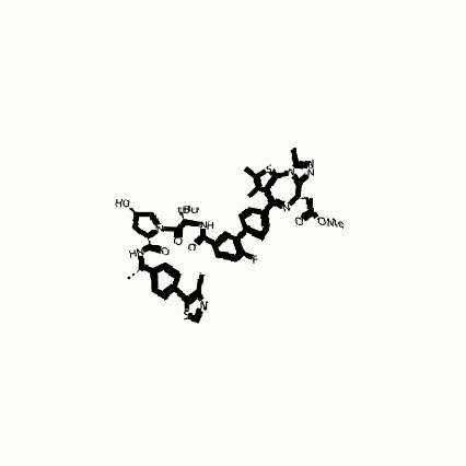 COC(=O)C[C@@H]1N=C(c2ccc(-c3cc(C(=O)N[C@H](C(=O)N4C[C@H](O)C[C@H]4C(=O)N[C@@H](C)c4ccc(-c5scnc5C)cc4)C(C)(C)C)ccc3F)cc2)c2c(sc(C)c2C)-n2c(C)nnc21